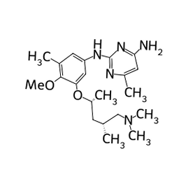 COc1c(C)cc(Nc2nc(C)cc(N)n2)cc1O[C@H](C)C[C@@H](C)CN(C)C